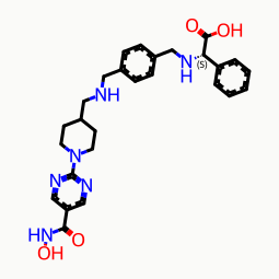 O=C(NO)c1cnc(N2CCC(CNCc3ccc(CN[C@H](C(=O)O)c4ccccc4)cc3)CC2)nc1